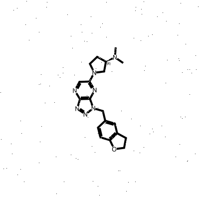 CN(C)[C@@H]1CCN(c2cnc3nnn(Cc4ccc5c(c4)CCO5)c3n2)C1